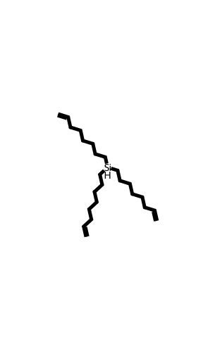 C=CCCCCCC[SiH](CCCCCCC=C)CCCCCCC=C